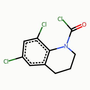 O=C(Cl)N1CCCc2cc(Cl)cc(Cl)c21